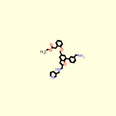 CCOC(=O)Cc1ccccc1OCc1cc(-c2cccc(CN)c2)c2oc(CNCc3cccnc3)cc2c1